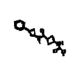 COC(=O)NC1CC(C(=O)N(C)C2CC(c3ccccc3)C2)C1